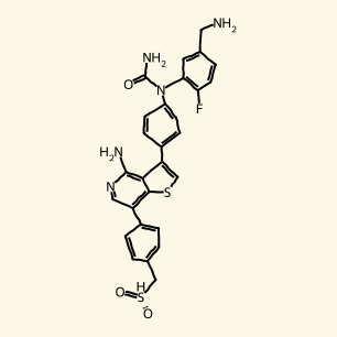 NCc1ccc(F)c(N(C(N)=O)c2ccc(-c3csc4c(-c5ccc(C[SH](=O)=O)cc5)cnc(N)c34)cc2)c1